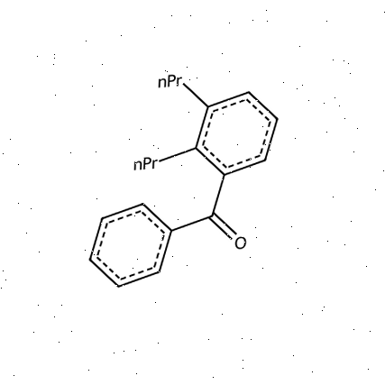 CCCc1cccc(C(=O)c2ccccc2)c1CCC